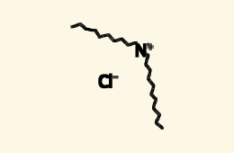 CCCCCCCCCCC[N+](C)(C)CCCCCCCCCC.[Cl-]